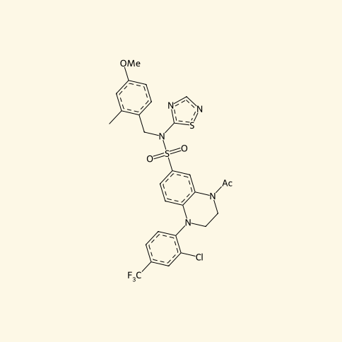 COc1ccc(CN(c2ncns2)S(=O)(=O)c2ccc3c(c2)N(C(C)=O)CCN3c2ccc(C(F)(F)F)cc2Cl)c(C)c1